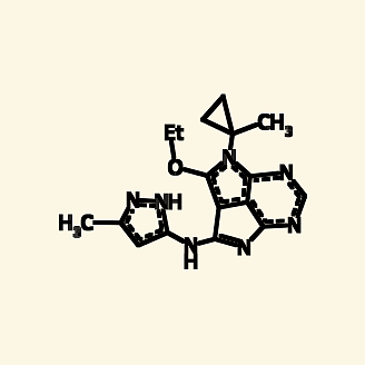 CCOc1c2c3c(ncnc3n1C1(C)CC1)N=C2Nc1cc(C)n[nH]1